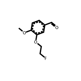 COc1ccc(C=O)cc1OCCF